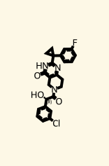 O=C([C@H](O)c1cccc(Cl)c1)N1CCc2nc(C3(c4cccc(F)c4)CC3)[nH]c(=O)c2C1